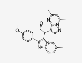 COc1ccc(-c2nc3ccc(C)cn3c2C(C=O)c2cnn3c(C)cc(C)nc23)cc1